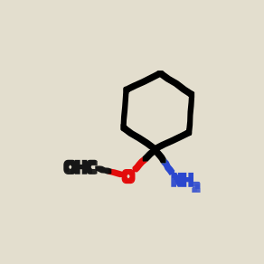 NC1(OC=O)CCCCC1